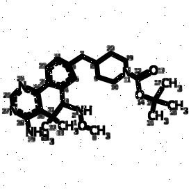 CONC1c2cc(CC3CCN(C(=O)OC(C)(C)C)CC3)ccc2-c2ncnc(N)c2C1(C)C